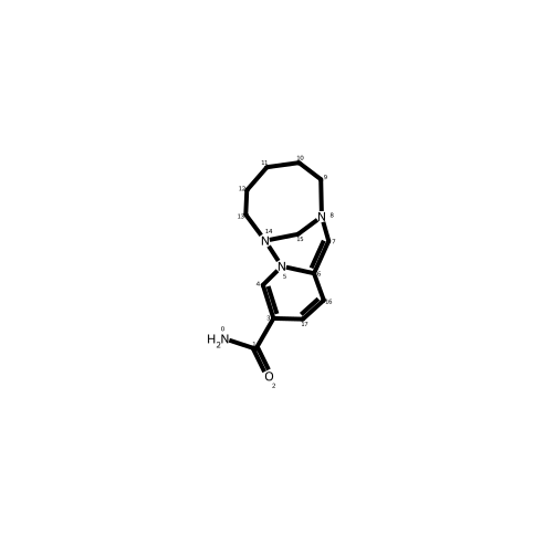 NC(=O)C1=CN2C(=CN3CCCCCN2C3)C=C1